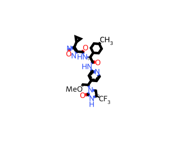 COCC(c1ccnc(NC(=O)[C@@H](NC(=O)c2nonc2C2CC2)C2CCC(C)CC2)c1)N1C[C@@H](C(F)(F)F)NC1=O